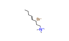 CCC/C=C/CCC[N+](C)(C)C.[Br-]